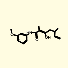 C=CC(C)C/C(O)=C(\C)C(=O)Nc1cccc(OC)c1